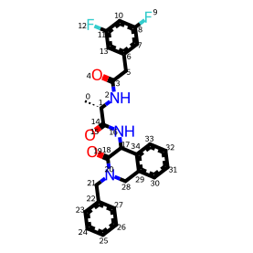 C[C@H](NC(=O)Cc1cc(F)cc(F)c1)C(=O)NC1C(=O)N(Cc2ccccc2)Cc2ccccc21